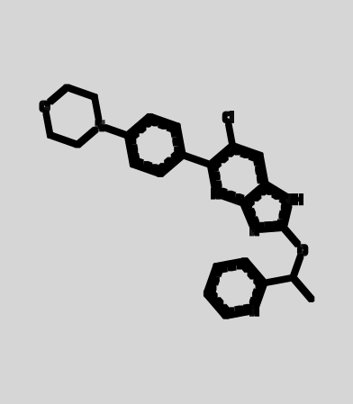 CC(Oc1nc2nc(-c3ccc(N4CCOCC4)cc3)c(Cl)cc2[nH]1)c1ccccn1